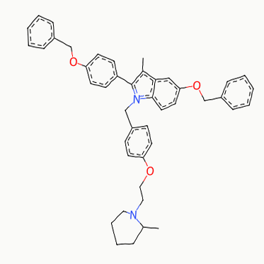 Cc1c(-c2ccc(OCc3ccccc3)cc2)n(Cc2ccc(OCCN3CCCCC3C)cc2)c2ccc(OCc3ccccc3)cc12